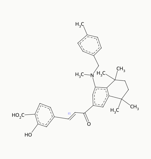 Cc1ccc(CN(C)c2cc(C(=O)/C=C/c3ccc(C(=O)O)c(O)c3)cc3c2C(C)(C)CCC3(C)C)cc1